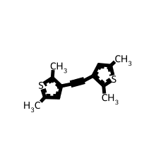 Cc1cc(C#Cc2cc(C)sc2C)c(C)s1